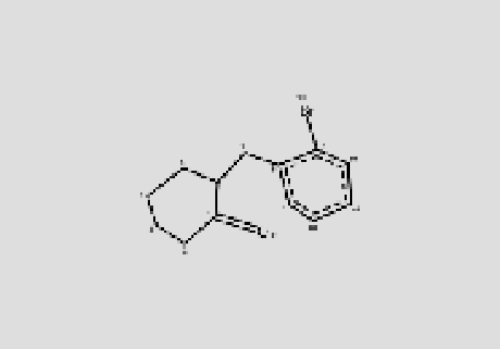 O=C1CCCCC1Cc1ccccc1Br